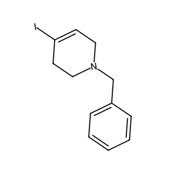 IC1=CCN(Cc2ccccc2)CC1